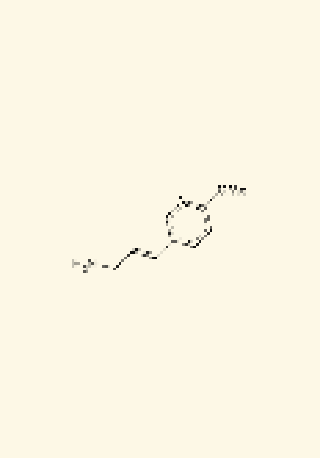 COc1ccc(C=CCN)cn1